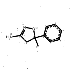 CC1(c2ccccc2)CC(N)=NO1